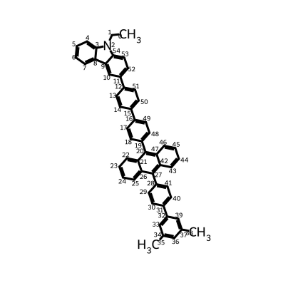 CCn1c2ccccc2c2cc(-c3ccc(-c4ccc(-c5c6ccccc6c(-c6ccc(-c7cc(C)cc(C)c7)cc6)c6ccccc56)cc4)cc3)ccc21